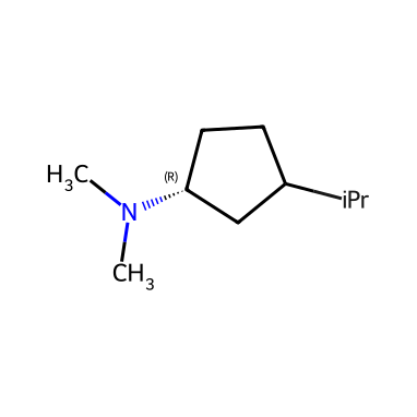 CC(C)C1CC[C@@H](N(C)C)C1